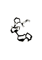 O=C(O)[C@@H]1CCCN1c1nccc(-c2ccc3ccccc3c2)n1